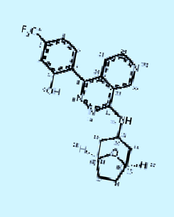 Oc1cc(C(F)(F)F)ccc1-c1nnc(NC2C[C@H]3CC[C@@H](C2)O3)c2cnccc12